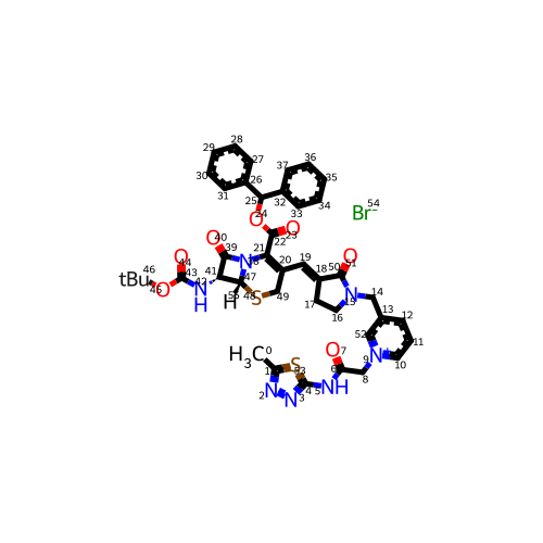 Cc1nnc(NC(=O)C[n+]2cccc(CN3CCC(=CC4=C(C(=O)OC(c5ccccc5)c5ccccc5)N5C(=O)[C@@H](NC(=O)OC(C)(C)C)[C@H]5SC4)C3=O)c2)s1.[Br-]